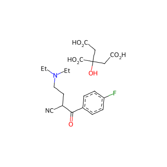 CCN(CC)CCC(C#N)C(=O)c1ccc(F)cc1.O=C(O)CC(O)(CC(=O)O)C(=O)O